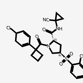 N#CC1(NC(=O)[C@@H]2C[C@@H](S(=O)(=O)c3ccccc3Cl)CN2C(=O)C2(C3=CCC(Cl)C=C3)CCC2)CC1